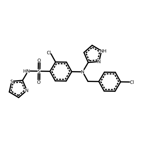 O=S(=O)(Nc1nccs1)c1ccc(N(Cc2ccc(Cl)cc2)c2cc[nH]n2)cc1Cl